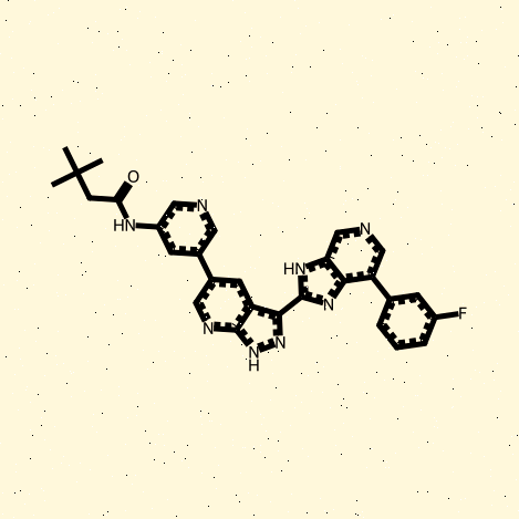 CC(C)(C)CC(=O)Nc1cncc(-c2cnc3[nH]nc(-c4nc5c(-c6cccc(F)c6)cncc5[nH]4)c3c2)c1